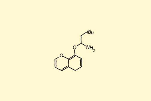 CCC(C)CC(N)OC1=C2OC=CC=C2CC=C1